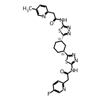 Cc1ccc(CC(=O)Nc2nnc([C@H]3CCC[C@H](c4nnc(NC(=O)Cc5ccc(F)cn5)s4)C3)s2)nc1